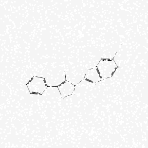 OC1=C(c2ccccc2)NNC1c1nc2ccc(O)cc2[nH]1